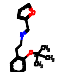 C[Si](C)(C)Oc1ccccc1CCN=Cc1ccco1